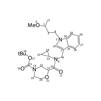 COC(C)CCn1cc(CN(C(=O)C2CN(C(=O)OC(C)(C)C)CCO2)C2CC2)c2ccccc21